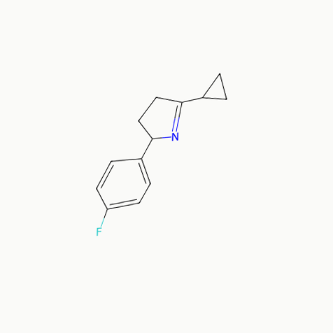 Fc1ccc(C2CCC(C3CC3)=N2)cc1